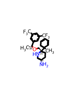 C[C@@H](OC[C@@]1(C2(C)C=CC=CC2)CC[C@H](N)CN1)c1cc(C(F)(F)F)cc(C(F)(F)F)c1